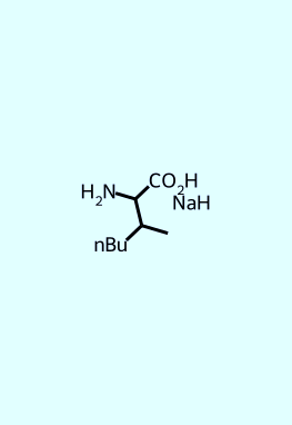 CCCCC(C)C(N)C(=O)O.[NaH]